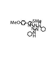 COc1ccc(-c2cc(SC)n(-c3nc(NC4CCCCC4)nc(NC4CCCCC4)n3)n2)cc1